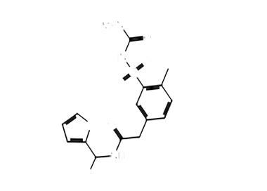 CCC(NC(=O)Cc1ccc(C)c(S(=O)(=O)NC(=O)NC)c1)c1cccs1